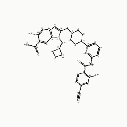 N#Cc1ccc(C(=O)Nc2cccc(C3CCN(Cc4nc5cc(F)c(C(=O)O)cc5n4C[C@@H]4CCO4)CC3)n2)c(F)c1